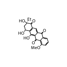 CC[C@@]1(O)C[C@H](O)c2c(cc3c(c2O)C(=O)c2c(OC)cccc2C3=O)C1=O